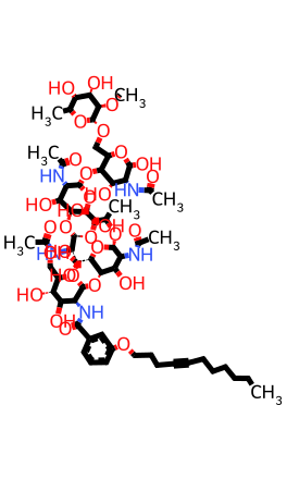 CCCCCCC#CCCCOc1cccc(C(=O)N[C@@H]2C(O[C@H]3C(O)C(NC(C)=O)[C@H](OC(C)C(CO)O[C@@H](O[C@H]4C(O)C(NC(C)=O)C(OC5C(CO[C@@H]6OC(C)C(O)[C@H](O)[C@H]6OC)OC(O)[C@@H](NC(C)=O)[C@H]5O)O[C@H]4CO)[C@H](CO)NC(C)=O)O[C@H]3CO)OC(CO)[C@@H](O)C2O)c1